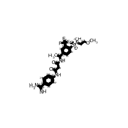 COCCN(C)S(=O)(=O)c1ccc(C(C)NC(=O)CC(=O)Nc2ccc(C(=N)N)cc2)cc1C(F)(F)F